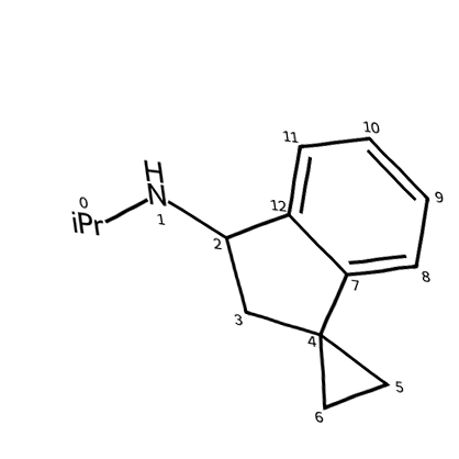 CC(C)NC1CC2(CC2)c2ccccc21